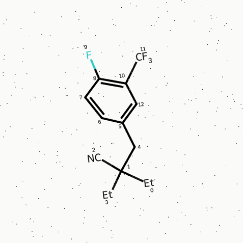 CCC(C#N)(CC)Cc1ccc(F)c(C(F)(F)F)c1